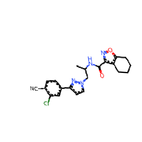 CC(Cn1ccc(-c2ccc(C#N)c(Cl)c2)n1)NC(=O)c1noc2c1CCCC2